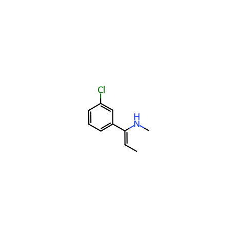 C/C=C(\NC)c1cccc(Cl)c1